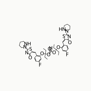 CCC(CC)(Oc1cc(F)ccc1C=C1SC(N2CCCCN2)=NC1=O)O[PH](=O)OC(CC)(CC)Oc1cc(F)ccc1C=C1SC(N2CCCCN2)=NC1=O